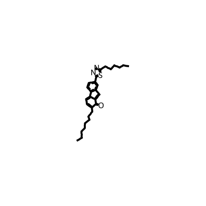 CCCCCCCCC1=CC=C2C(=Cc3cc(-c4nnc(CCCCCC)s4)ccc32)C1=O